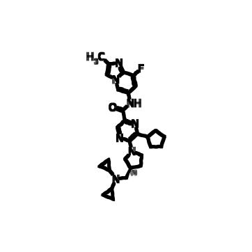 Cc1cn2cc(NC(=O)c3cnc(N4CC[C@@H](CN(C5CC5)C5CC5)C4)c(C4CCCC4)n3)cc(F)c2n1